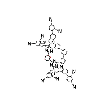 N#Cc1ccc(-c2ccc3c(c2)c2cc(-c4ccc(C#N)cc4C#N)ccc2n3-c2ccc(-c3cccc(-c4ccc(-n5c6ccc(-c7ccc(C#N)cc7C#N)cc6c6cc(-c7ccc(C#N)cc7C#N)ccc65)c(-c5nc(-c6ccccc6)nc(-c6ccccc6)n5)c4)c3)cc2-c2nc(-c3ccccc3)nc(-c3ccccc3)n2)c(C#N)c1